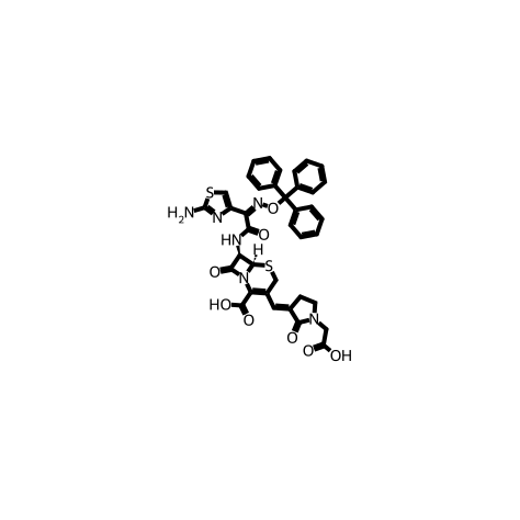 Nc1nc(/C(=N/OC(c2ccccc2)(c2ccccc2)c2ccccc2)C(=O)N[C@@H]2C(=O)N3C(C(=O)O)=C(/C=C4\CCN(CC(=O)O)C4=O)CS[C@H]23)cs1